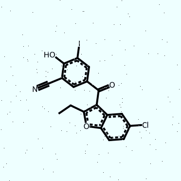 CCc1oc2ccc(Cl)cc2c1C(=O)c1cc(I)c(O)c(C#N)c1